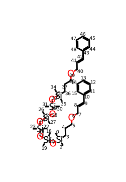 C[Si](C)(CCCOC/C=C/c1ccccc1)O[Si](C)(C)O[Si](C)(C)O[Si](C)(C)O[Si](C)(C)O[Si](C)(C)CCCOC/C=C/c1ccccc1